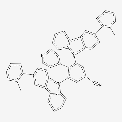 Cc1ccccc1-c1ccc2c(c1)c1ccccc1n2-c1cc(C#N)cc(-n2c3ccccc3c3cc(-c4ccccc4C)ccc32)c1-c1ccncc1